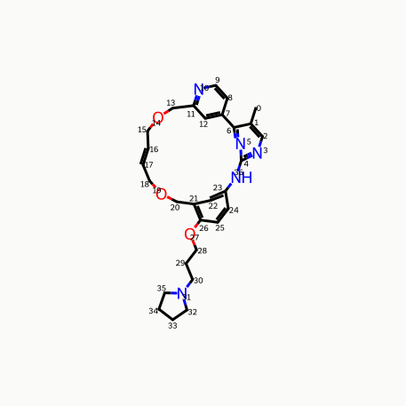 Cc1cnc2nc1-c1ccnc(c1)COC/C=C/COCc1cc(ccc1OCCCN1CCCC1)N2